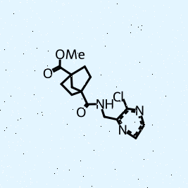 COC(=O)C12CCC(C(=O)NCc3nccnc3Cl)(CC1)C2